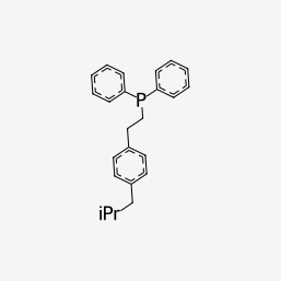 CC(C)Cc1ccc(CCP(c2ccccc2)c2ccccc2)cc1